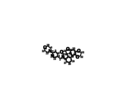 O=C1N(Cc2ccc(N3CCOCC3)nc2)c2ccccc2C12COc1cc3c(cc12)OCCO3